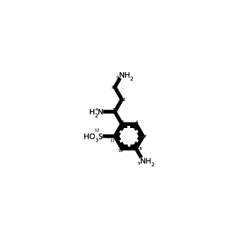 NCCC(N)c1ccc(N)cc1S(=O)(=O)O